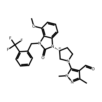 COc1cccc2c1n(Cc1ccccc1C(F)(F)F)c(=O)n2[C@@H]1CCN(c2c(C=O)c(C)nn2C)C1